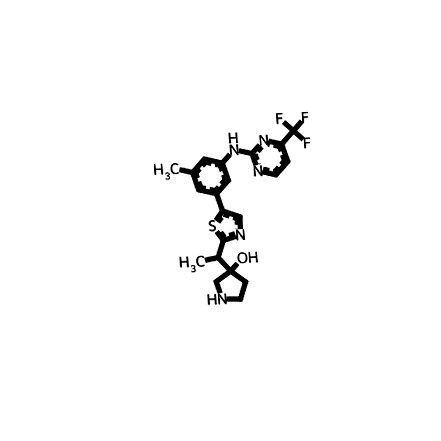 Cc1cc(Nc2nccc(C(F)(F)F)n2)cc(-c2cnc(C(C)C3(O)CCNC3)s2)c1